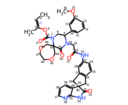 C/C=C(/C)OC(=O)N1CC(c2cccc(OC)c2)N(CC(=O)Nc2ccc3c(c2)C[C@@]2(C3)C(=O)Nc3ncccc32)C(=O)C12COCCOC2